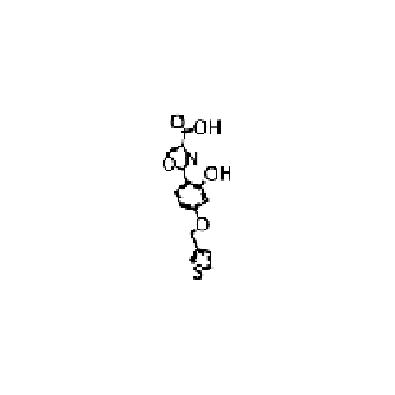 O=C(O)[C@@H]1COC(c2ccc(OCc3ccsc3)cc2O)=N1